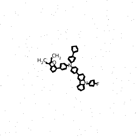 C=Cc1oc2c(-c3ccc(N(c4ccc(-c5ccccc5)cc4)c4ccc(-c5ccc6c(c5)c5ccccc5n6-c5ccc(F)cc5)cc4)cc3)cccc2c1C=C